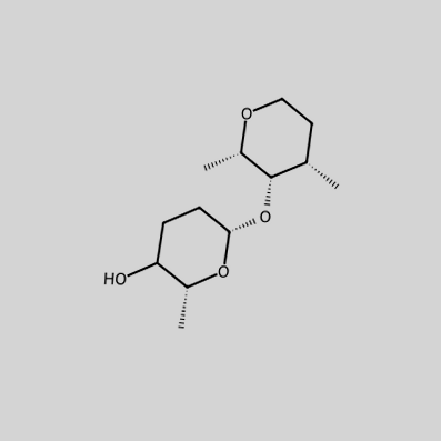 C[C@@H]1OCC[C@H](C)[C@@H]1O[C@H]1CCC(O)[C@@H](C)O1